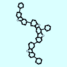 c1ccc(-c2ccc3oc4ccc(-c5ccc6oc7c(-c8ccccc8)c8oc9ccc(-c%10ccc%11oc%12ccc(-c%13ccccc%13)cc%12c%11c%10)cc9c8cc7c6c5)cc4c3c2)cc1